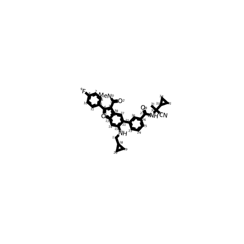 CNC(=O)c1c(-c2ccc(F)cc2)oc2cc(NCC3CC3)c(-c3cccc(C(=O)NC(C)(C#N)C4CC4)c3)cc12